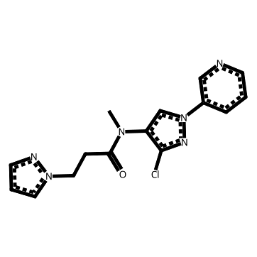 CN(C(=O)CCn1cccn1)c1cn(-c2cccnc2)nc1Cl